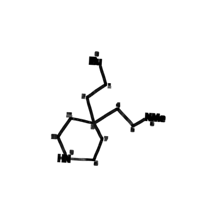 CCC(C)CCC1(CCNC)CCNCC1